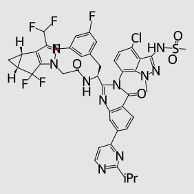 CC(C)c1nccc(-c2ccc3c(=O)n(-c4ccc(Cl)c5c(NS(C)(=O)=O)nn(C)c45)c([C@H](Cc4cc(F)cc(F)c4)NC(=O)Cn4nc(C(F)F)c5c4C(F)(F)[C@@H]4C[C@H]54)nc3c2)n1